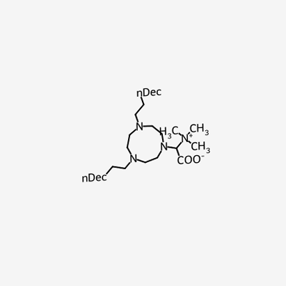 CCCCCCCCCCCCN1CCN(CCCCCCCCCCCC)CCN(C(C(=O)[O-])[N+](C)(C)C)CC1